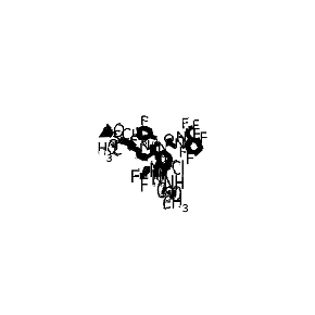 CC(C)(C#Cc1ccc(-c2ccc(Cl)c3c(NS(C)(=O)=O)nn(CC(F)F)c23)c([C@H](Cc2cc(F)cc(F)c2)NC(=O)Cn2nc(C(F)F)c3c2C(F)(F)CCC3(F)F)n1)S(=O)(=O)C1CC1